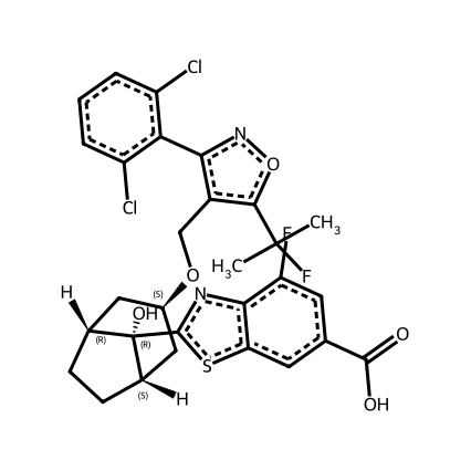 CC(C)(F)c1onc(-c2c(Cl)cccc2Cl)c1CO[C@@H]1C[C@H]2CC[C@@H](C1)[C@]2(O)c1nc2c(F)cc(C(=O)O)cc2s1